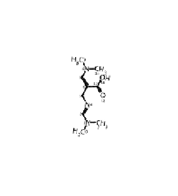 CN(C)C=NCC(=CN(C)C)C(=O)O